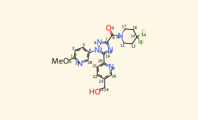 COc1ccc(-n2nc(C(=O)N3CCC(F)(F)CC3)nc2-c2ccc(CO)cn2)cn1